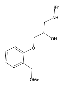 COCc1ccccc1OCC(O)CNC(C)C